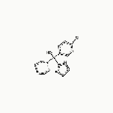 OC(c1ccccc1)(c1ccc(Cl)cc1)c1ncc[nH]1